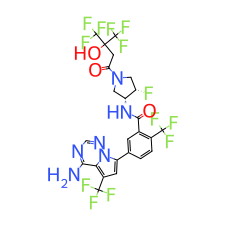 Nc1ncnn2c(-c3ccc(C(F)(F)F)c(C(=O)N[C@@H]4CN(C(=O)CC(O)(C(F)(F)F)C(F)(F)F)C[C@@H]4F)c3)cc(C(F)(F)F)c12